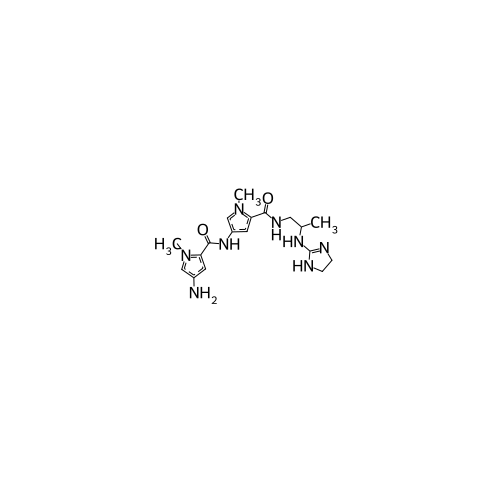 CC(CNC(=O)c1cc(NC(=O)c2cc(N)cn2C)cn1C)NC1=NCCN1